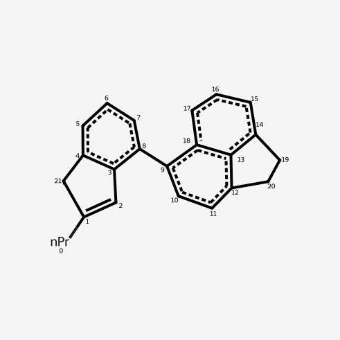 CCCC1=Cc2c(cccc2-c2ccc3c4c(cccc24)CC3)[CH]1